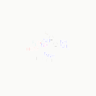 CC(C)C(=N)N1CCC(CNC(=O)[C@@H](NC(=O)C(Cc2ccc(C(=N)N)cc2)c2cccc(Br)c2)C2CCCCC2)CC1.O=C(O)C(F)(F)F